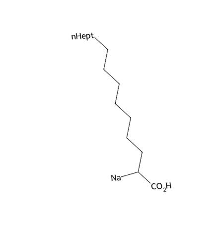 CCCCCCCCCCCCCC[CH]([Na])C(=O)O